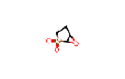 O=S1(=O)CCC2OC21